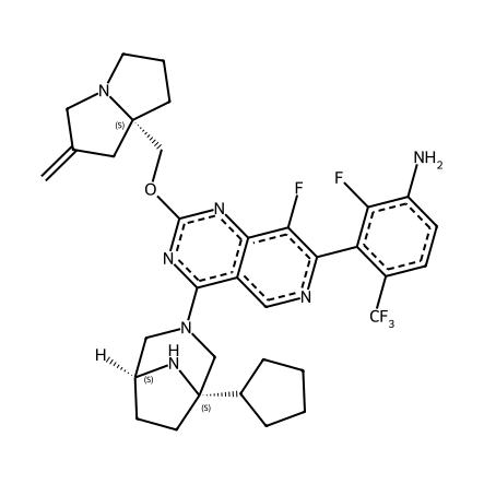 C=C1CN2CCC[C@@]2(COc2nc(N3C[C@@H]4CC[C@](C5CCCC5)(C3)N4)c3cnc(-c4c(C(F)(F)F)ccc(N)c4F)c(F)c3n2)C1